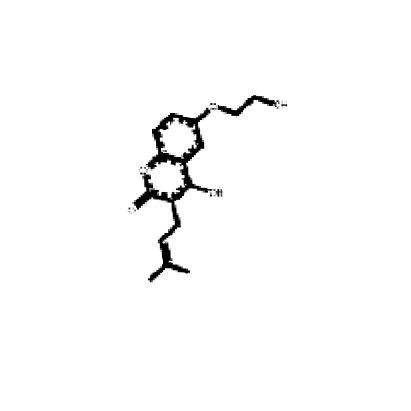 CC(C)=CCc1c(O)c2cc(OCCO)ccc2oc1=O